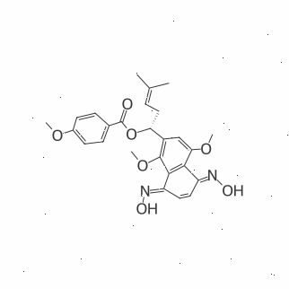 COc1ccc(C(=O)O[C@H](CC=C(C)C)c2cc(OC)c3c(c2OC)C(=NO)C=CC3=NO)cc1